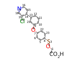 O=C(O)COSc1ccc(Oc2cccc(-c3ccncc3Cl)c2)cc1